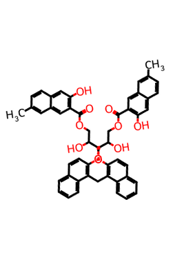 Cc1ccc2cc(O)c(C(=O)OCC(O)COc3ccc4ccccc4c3Cc3c(OCC(O)COC(=O)c4cc5cc(C)ccc5cc4O)ccc4ccccc34)cc2c1